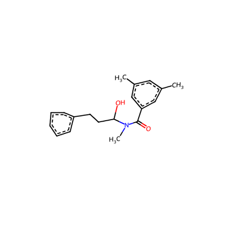 Cc1cc(C)cc(C(=O)N(C)C(O)CCc2ccccc2)c1